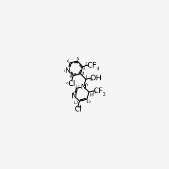 OC(c1c(C(F)(F)F)ccnc1Cl)N1C=NC(Cl)=CC1C(F)(F)F